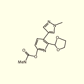 CNC(=O)Oc1ccc(-c2cnn(C)c2)c(C2OCCO2)n1